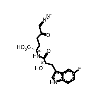 [N-]=[N+]=CC(=O)CC[C@H](NC(=O)[C@@H](O)Cc1c[nH]c2ccc(F)cc12)C(=O)O